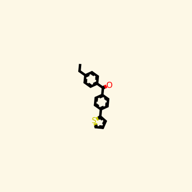 CCc1ccc(C(=O)c2ccc(-c3cccs3)cc2)cc1